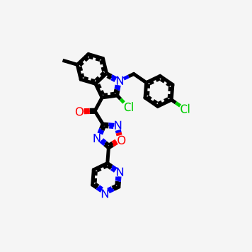 Cc1ccc2c(c1)c(C(=O)c1noc(-c3ccncn3)n1)c(Cl)n2Cc1ccc(Cl)cc1